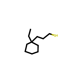 CCC1(CCCS)CCCCC1